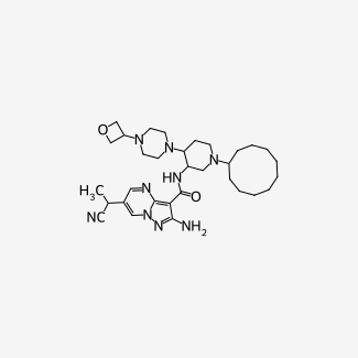 CC(C#N)c1cnc2c(C(=O)NC3CN(C4CCCCCCCCC4)CCC3N3CCN(C4COC4)CC3)c(N)nn2c1